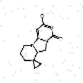 O=c1nc(Cl)cc2n1CC1N2CCCC12CC2